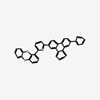 c1ccc(-c2ccc3c4ccc(-c5cccc(-c6cccc7c6Oc6ccccc6S7)n5)cc4c4ccccc4c3c2)cc1